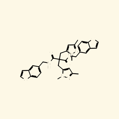 Cc1cc(CC(Cc2cc(C)nn2C)(C(=O)NCc2ccc3occc3c2)C(=O)NCc2ccc3occc3c2)n(C)n1